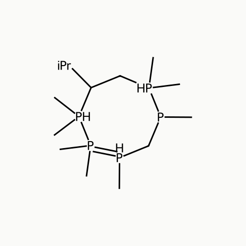 CC(C)C1C[PH](C)(C)P(C)C[PH](C)=P(C)(C)[PH]1(C)C